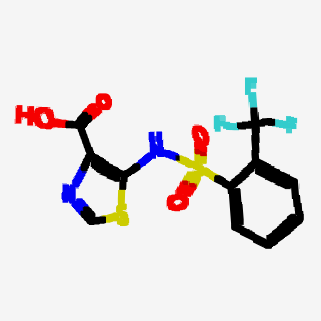 O=C(O)c1ncsc1NS(=O)(=O)c1ccccc1C(F)(F)F